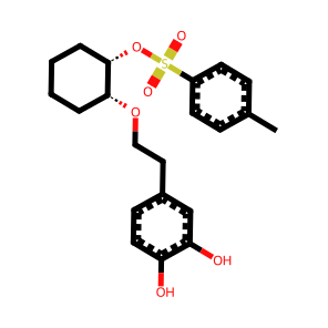 Cc1ccc(S(=O)(=O)O[C@H]2CCCC[C@H]2OCCc2ccc(O)c(O)c2)cc1